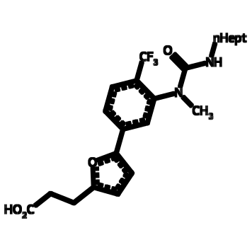 CCCCCCCNC(=O)N(C)c1cc(-c2ccc(CCC(=O)O)o2)ccc1C(F)(F)F